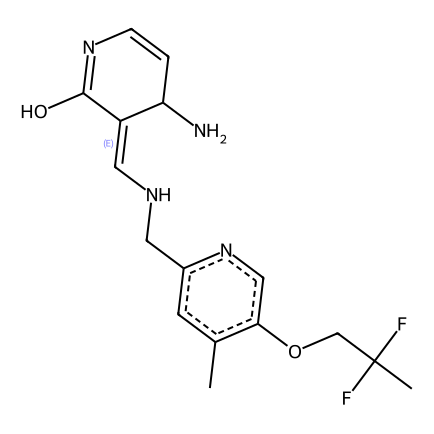 Cc1cc(CN/C=C2/C(O)=NC=CC2N)ncc1OCC(C)(F)F